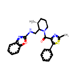 Cc1nc(C(=O)N2CCC[C@@H](C)C2CNc2nc3ccccc3o2)c(-c2ccccc2)s1